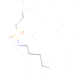 CCCCCCCCCCCCNS(=O)(=O)CCS(=O)(=O)O